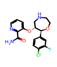 NC(=O)c1ncccc1O[C@@H]1CNCCO[C@H]1c1ccc(Cl)c(F)c1